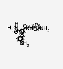 CNC(=O)c1cc(C(=O)NCCC[C@H]2OC[C@H](N)CO2)cc(Cc2cccc(C)c2)n1